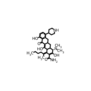 CCCC/C(C)=C1/C(C(N)=O)=C(O)[C@@H](N(C)C)C2CC3Cc4c(C5CCNCC5)ccc(O)c4C(=O)C3=C(O)C12